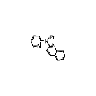 CC(C)N(c1ccccn1)c1ccc2ccccc2n1